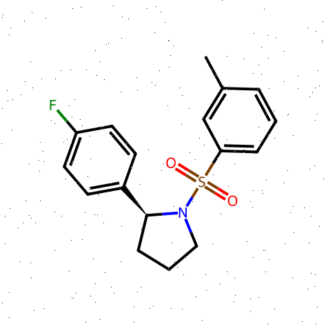 Cc1cccc(S(=O)(=O)N2CCC[C@H]2c2ccc(F)cc2)c1